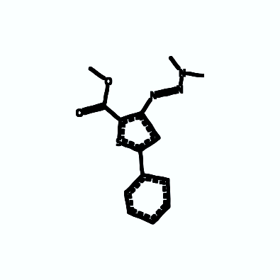 COC(=O)c1sc(-c2ccccc2)cc1/N=N/N(C)C